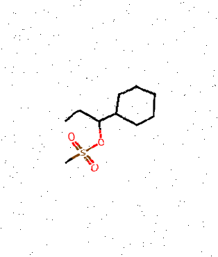 CCC(OS(C)(=O)=O)C1CCCCC1